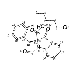 CCCCCCl.O=CN(c1ccccc1)[C@](C=O)(Cc1ccccc1)C(=O)O